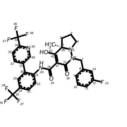 C[C@]12CCCN1N(Cc1cccc(F)c1)C(=O)C(C(=O)Nc1ccc(C(F)(F)F)cc1-c1ccc(C(F)(F)F)nc1)=C2O